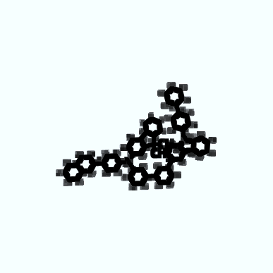 CC1(C)c2ccccc2-c2ccc(N(c3ccc(-c4ccc5ccccc5c4)cc3)c3cccc(-c4cccc(-c5ccc6c(c5)c5ccccc5n6-c5ccc(-c6ccccc6)cc5)c4)c3)cc21